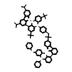 CC(C)c1ccc2c(c1)c1cc(C(C)C)cc3c1n2B1c2ccc(C(C)(C)C)cc2N(c2ccc(CC(C)(C)c4ccc5c(c4)c4cccc6c4n5B4c5ccc(Oc7ccccc7)cc5N(c5ccccc5)c5cccc-6c54)cc2)c2cc(C(C)(C)C)cc-3c21